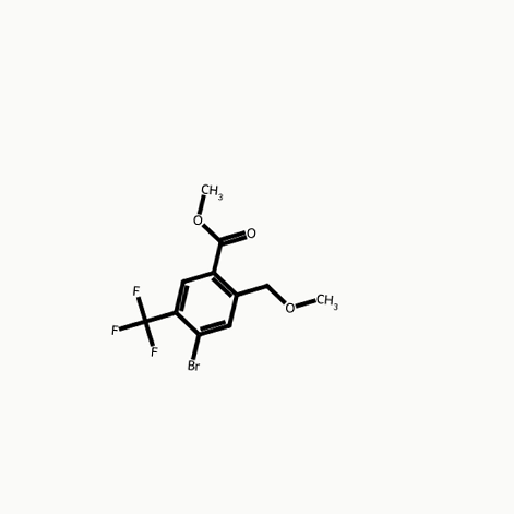 COCc1cc(Br)c(C(F)(F)F)cc1C(=O)OC